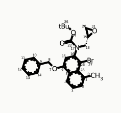 Cc1cccc2c(OCc3ccccc3)cc(N(C[C@@H]3CO3)C(=O)OC(C)(C)C)c(Br)c12